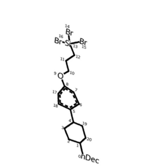 CCCCCCCCCCC1CCC(c2ccc(OCCC[Si](Br)(Br)Br)cc2)CC1